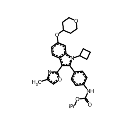 Cc1coc(-c2c(-c3ccc(NC(=O)OC(C)C)cc3)n(C3CCC3)c3cc(OC4CCOCC4)ccc23)n1